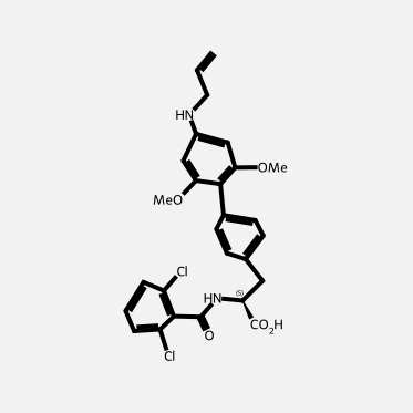 C=CCNc1cc(OC)c(-c2ccc(C[C@H](NC(=O)c3c(Cl)cccc3Cl)C(=O)O)cc2)c(OC)c1